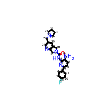 Nc1ccc(-c2ccc(F)cc2)nc1NC(=O)N1Cc2cc(CN3CCCC3)cnc2C1